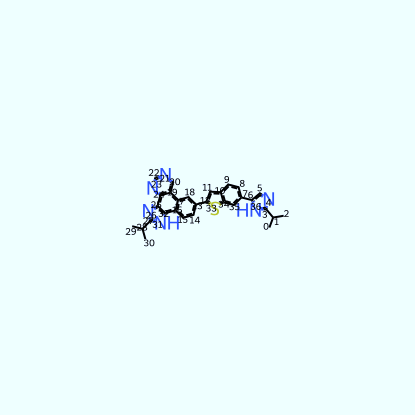 CC(C)c1ncc(-c2ccc3cc(-c4ccc5c(c4)c4cncnc4c4nc(C(C)C)[nH]c54)sc3c2)[nH]1